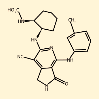 Cc1cccc(Nc2nc(N[C@@H]3CCCC[C@@H]3NC(=O)O)c(C#N)c3c2C(=O)NC3)c1